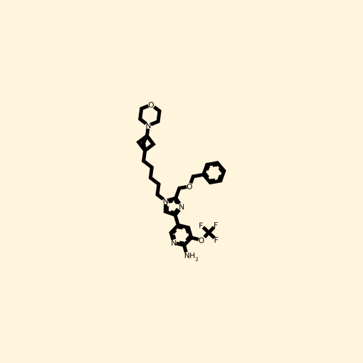 Nc1ncc(-c2cn(CCCCCC34CC(N5CCOCC5)(C3)C4)c(COCc3ccccc3)n2)cc1OC(F)(F)F